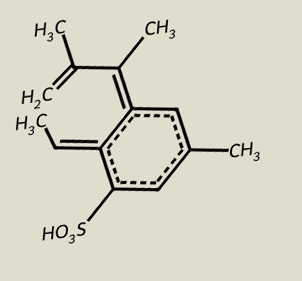 C=C(C)/C(C)=c1/cc(C)cc(S(=O)(=O)O)/c1=C/C